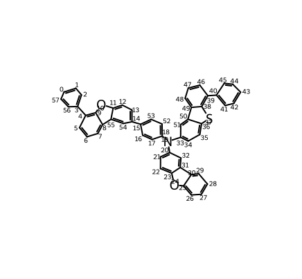 c1ccc(-c2cccc3c2oc2ccc(-c4ccc(N(c5ccc6oc7ccccc7c6c5)c5ccc6sc7c(-c8ccccc8)cccc7c6c5)cc4)cc23)cc1